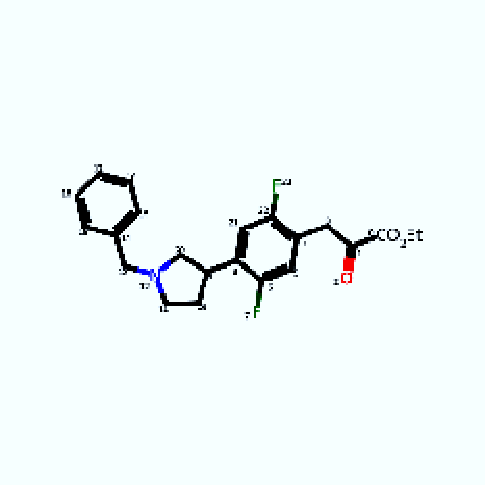 CCOC(=O)C(=O)Cc1cc(F)c(C2CCN(Cc3ccccc3)C2)cc1F